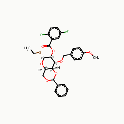 CCS[C@H]1O[C@@H]2COC(c3ccccc3)O[C@H]2[C@H](OCc2ccc(OC)cc2)[C@@H]1OC(=O)c1cc(F)ccc1F